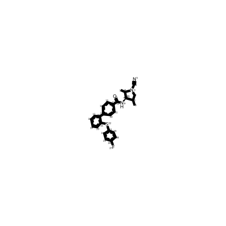 CC1CN(C#N)C(C)[C@@H]1NC(=O)c1ccc(-c2ccccc2Sc2ccc(F)cc2)cc1